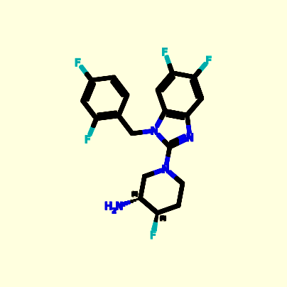 N[C@@H]1CN(c2nc3cc(F)c(F)cc3n2Cc2ccc(F)cc2F)CC[C@H]1F